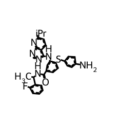 CC(C)c1ccc2c(Nc3cc(C(=O)NC(C)c4ccccc4F)ccc3Sc3ccc(N)cc3)ncnc2n1